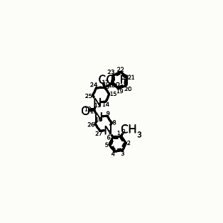 Cc1ccccc1N1CCN(C(=O)N2CCC(C(=O)O)(c3ccccc3)CC2)CC1